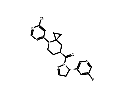 N#Cc1cc(N2CC[C@H](C(=O)N3N=CC[C@H]3c3cncc(F)c3)CC23CC3)ncn1